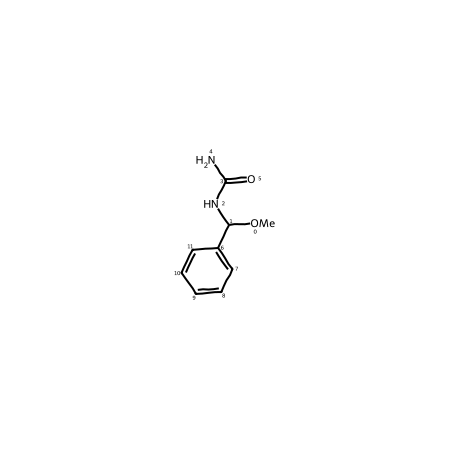 COC(NC(N)=O)c1ccccc1